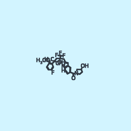 COc1ccc(F)cc1C(C)(C)CC(O)(Cc1cc2cc(C(=O)N3CCC(O)C3)ccc2[nH]1)C(F)(F)F